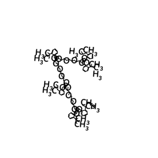 CCC(C)c1ccccc1OP(OCCOCCOCCOP(OCCOCCOCCOP(Oc1ccccc1C(C)CC)Oc1ccccc1C(C)CC)Oc1ccccc1C(C)CC)OCCOCCOCCOP(Oc1ccccc1C(C)CC)Oc1ccccc1C(C)CC